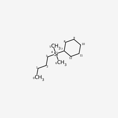 CCCC[Si](C)(C)C1CCCCC1